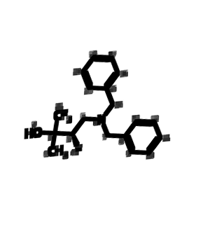 CC(O)([C@H](F)CN(Cc1ccccc1)Cc1ccccc1)C(F)(F)F